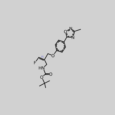 Cc1noc(-c2ccc(OC/C(=C/F)CNC(=O)OC(C)(C)C)cc2)n1